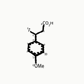 COc1ccc(C(F)CC(=O)O)cc1